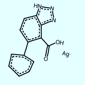 O=C(O)c1c(-c2ccccc2)ccc2[nH]nnc12.[Ag]